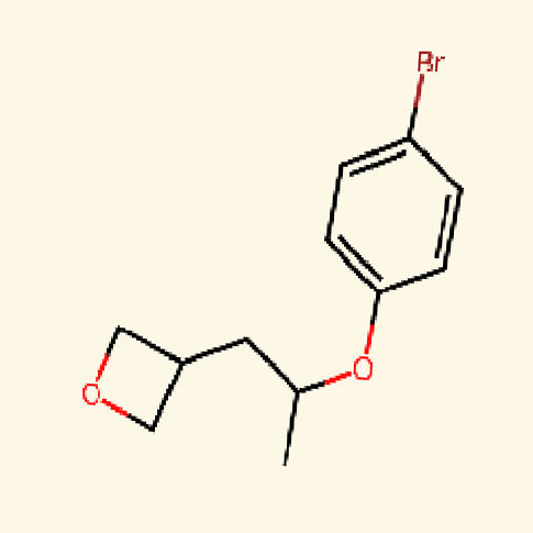 CC(CC1COC1)Oc1ccc(Br)cc1